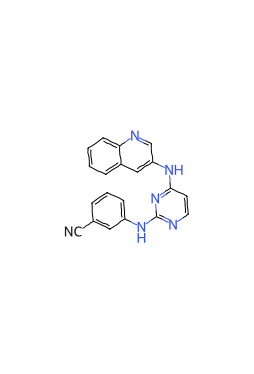 N#Cc1cccc(Nc2nccc(Nc3cnc4ccccc4c3)n2)c1